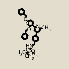 Cc1cc(-c2ccc(CNC(=O)OC(C)(C)C)cc2)cc(-c2ccc(OCc3ccccc3)nc2OCc2ccccc2)n1